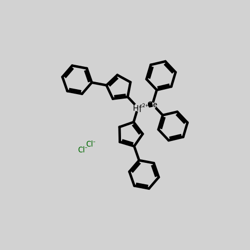 C1=C(c2ccccc2)C=[C]([Hf+2]([C]2=CC(c3ccccc3)=CC2)=[Ge]([c]2ccccc2)[c]2ccccc2)C1.[Cl-].[Cl-]